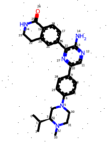 CC(C)[C@H]1CN(c2ccc(-c3cnc(N)c(-c4ccc5c(c4)CCNC5=O)n3)cc2)CCN1C